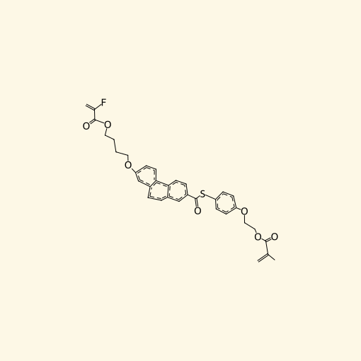 C=C(C)C(=O)OCCOc1ccc(SC(=O)c2ccc3c(ccc4cc(OCCCCOC(=O)C(=C)F)ccc43)c2)cc1